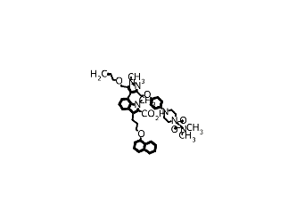 C=CCOCc1c(-c2cccc3c(CCCOc4cccc5ccccc45)c(C(=O)O)n(C)c23)c(COc2ccc(N3CCN(S(=O)(=O)N(C)C)CC3)cc2)nn1C